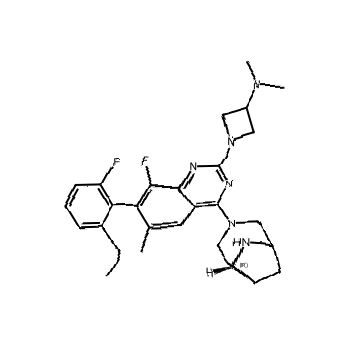 CCc1cccc(F)c1-c1c(C)cc2c(N3CC4CC[C@H](C3)N4)nc(N3CC(N(C)C)C3)nc2c1F